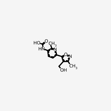 Cc1nc(-c2onc(C)c2CO)ccc1NC(=O)O